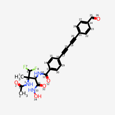 CC(=O)NC(C)(C(F)F)C(NC(=O)c1ccc(C#CC#Cc2ccc(C=O)cc2)cc1)C(=O)NO